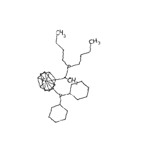 CCCCP(CCCC)C(C)[C]12[CH]3[CH]4[CH]5[C]1(P(C1CCCCC1)C1CCCCC1)[Fe]43521678[CH]2[CH]1[CH]6[CH]7[CH]28